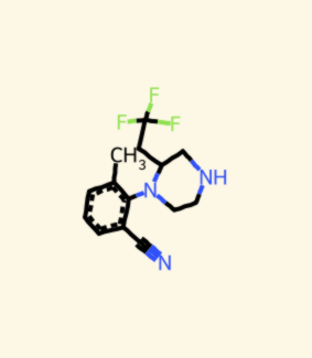 Cc1cccc(C#N)c1N1CCNCC1CC(F)(F)F